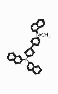 CN(c1ccc(-c2ccc(N(c3ccc4ccccc4c3)c3ccc4ccccc4c3)cc2)cc1)c1cccc2ccccc12